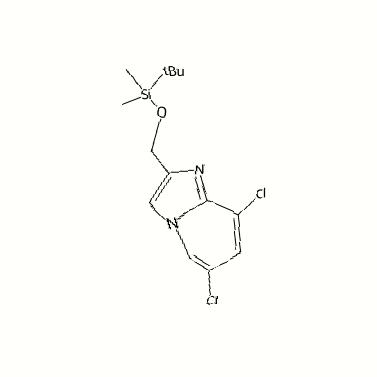 CC(C)(C)[Si](C)(C)OCc1cn2cc(Cl)cc(Cl)c2n1